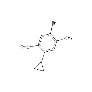 Cc1cc(C2CC2)c(C=O)cc1Br